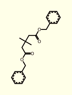 CC(C)(CC(=O)OCc1ccccc1)CC(=O)OCc1ccccc1